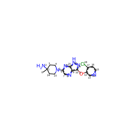 CC1(N)CCN(c2cnc3c(Oc4cnccc4Cl)n[nH]c3n2)CC1